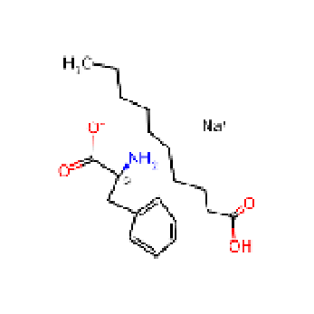 CCCCCCCCCC(=O)O.N[C@@H](Cc1ccccc1)C(=O)[O-].[Na+]